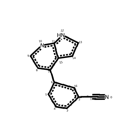 N#Cc1cccc(-c2ccnc3[nH]ccc23)c1